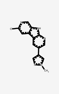 Cn1cc(-c2cnc3[nH]c4cnc(Cl)cc4c3c2)cn1